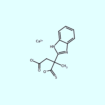 CC(CC(=O)[O-])(C([O-])=S)c1nc2ccccc2[nH]1.[Ca+2]